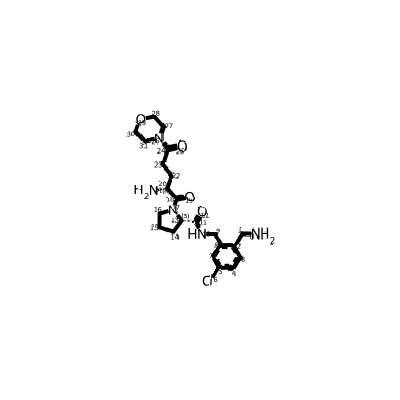 NCc1ccc(Cl)cc1CNC(=O)[C@@H]1CCCN1C(=O)[C@H](N)CCC(=O)N1CCOCC1